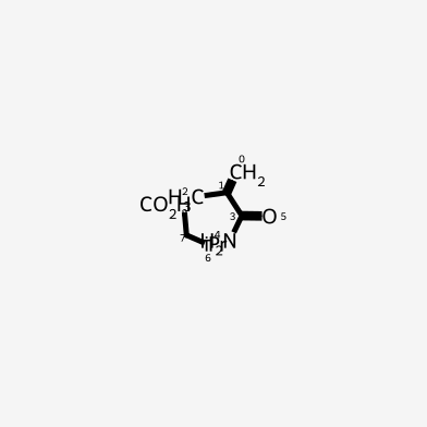 C=C(C)C(N)=O.CC(C)CC(=O)O